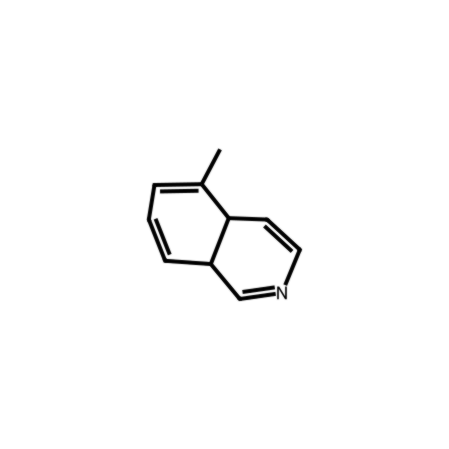 CC1=CC=CC2C=NC=CC12